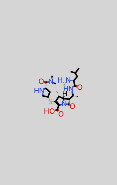 CC(C)C[C@@H](N)C(=O)N[C@H](C)[C@H]1C(=O)N2C(C(=O)O)=C(S[C@@H]3CN[C@H](C(=O)N(C)C)C3)[C@H](C)[C@H]12